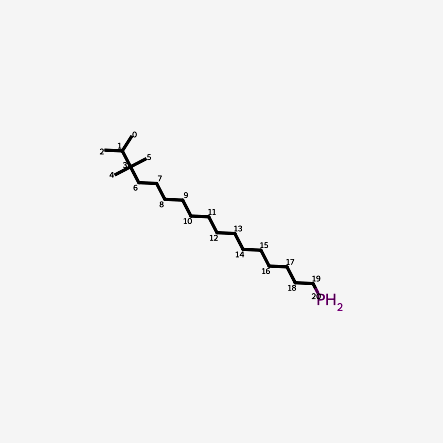 CC(C)C(C)(C)CCCCCCCCCCCCCCP